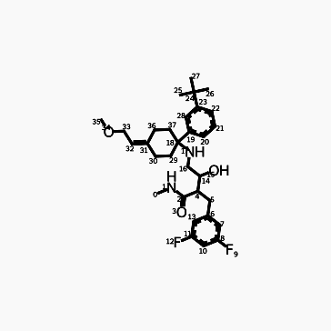 CNC(=O)C(Cc1cc(F)cc(F)c1)C(O)CNC1(c2cccc(C(C)(C)C)c2)CCC(=CCOC)CC1